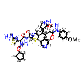 COc1ccc(NC(=O)CC(C(=C2CCNC2=O)C2=C(C(=O)O)N3C(=O)[C@@H](NC(=O)C(=NOC4CCCC4)c4csc(N)n4)[C@H]3SC2)c2ccncc2)cc1